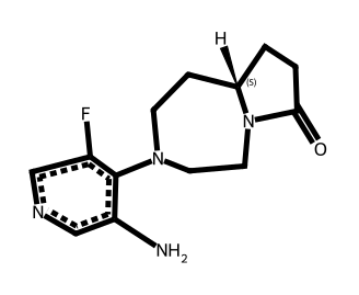 Nc1cncc(F)c1N1CC[C@@H]2CCC(=O)N2CC1